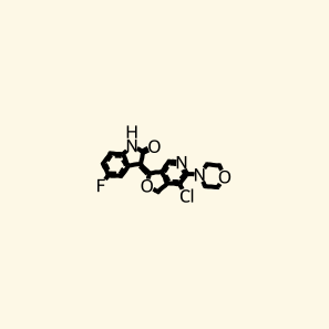 O=C1Nc2ccc(F)cc2/C1=C1\OCc2c1cnc(N1CCOCC1)c2Cl